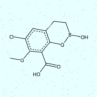 COc1c(Cl)cc2c(c1C(=O)O)OB(O)CC2